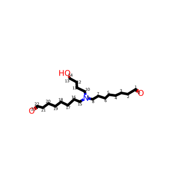 O=CCCCCCCCN(CCCCO)CCCCCCCC=O